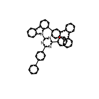 c1ccc(-c2ccc(-c3nc(-c4ccccc4)nc(-n4c5ccccc5c5cccc(-c6ccc7c8ccccc8c8ccccc8c7c6)c54)n3)cc2)cc1